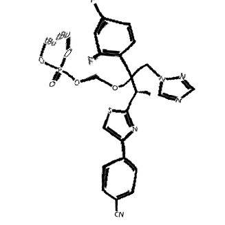 C[C@@H](c1nc(-c2ccc(C#N)cc2)cs1)C(Cn1cncn1)(OCOP(=O)(OC(C)(C)C)OC(C)(C)C)c1ccc(F)cc1F